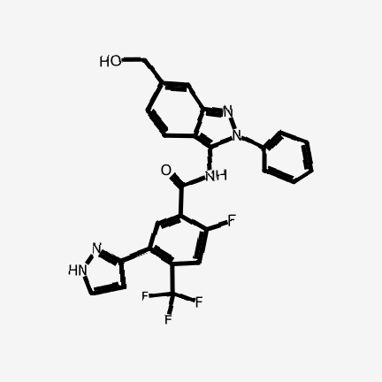 O=C(Nc1c2ccc(CO)cc2nn1-c1ccccc1)c1cc(-c2cc[nH]n2)c(C(F)(F)F)cc1F